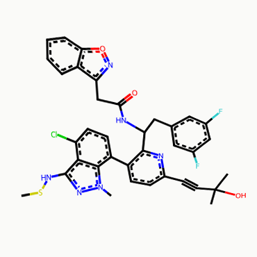 CSNc1nn(C)c2c(-c3ccc(C#CC(C)(C)O)nc3C(Cc3cc(F)cc(F)c3)NC(=O)Cc3noc4ccccc34)ccc(Cl)c12